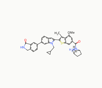 COc1cc(C(=O)N2CC3CCC2[C@@H]3N)cc2sc(-c3cc4ccc(-c5ccc6c(c5)C(=O)NC6)cc4n3CC3CC3)c(C)c12